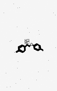 Cl.Cl.[CH2]c1ccc(CCOc2ccc(C)cc2)cc1